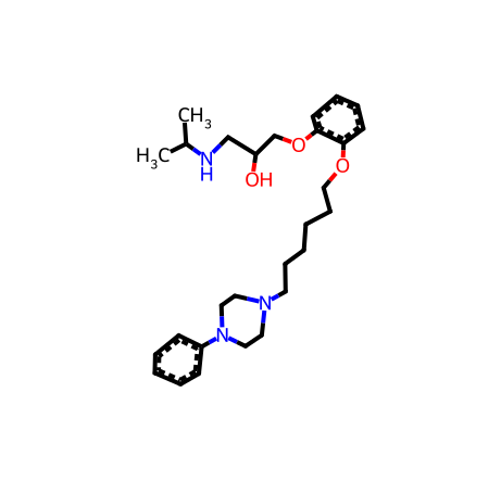 CC(C)NCC(O)COc1ccccc1OCCCCCCN1CCN(c2ccccc2)CC1